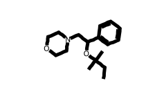 CCC(C)(C)OC(CN1CCOCC1)c1ccccc1